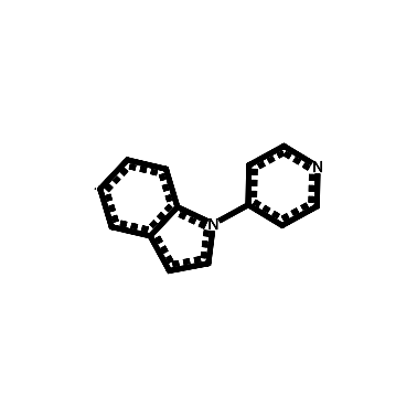 [c]1ccc2c(c1)ccn2-c1ccncc1